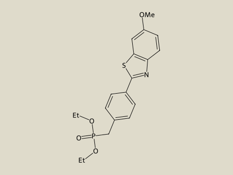 CCOP(=O)(Cc1ccc(-c2nc3ccc(OC)cc3s2)cc1)OCC